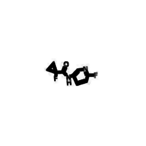 O=C(Nc1ccc(F)nc1)C1(F)CC1